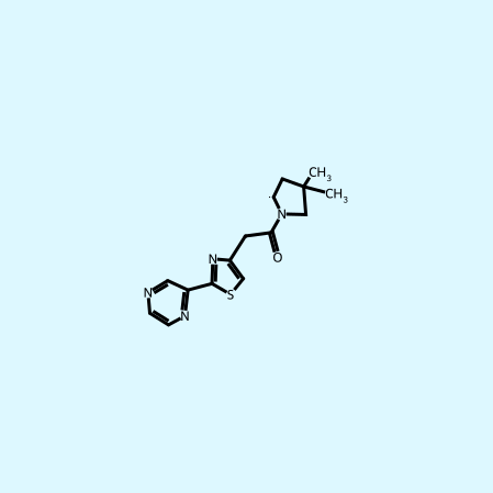 CC1(C)C[CH]N(C(=O)Cc2csc(-c3cnccn3)n2)C1